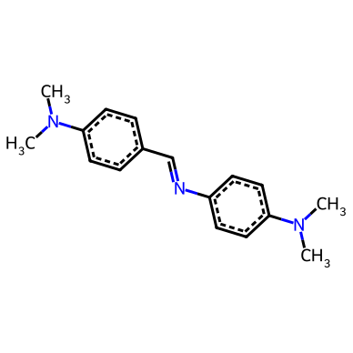 CN(C)c1ccc(C=Nc2ccc(N(C)C)cc2)cc1